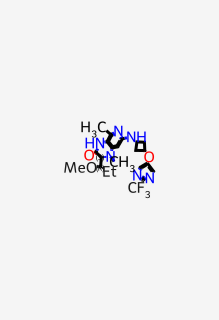 CC[C@@H](OC)[C@H]1C(=O)Nc2c(cc(N[C@H]3C[C@H](Oc4cnc(C(F)(F)F)nc4)C3)nc2C)N1C